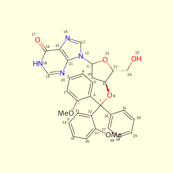 COc1ccccc1C(O[C@H]1CC(n2cnc3c(=O)[nH]cnc32)O[C@@H]1CO)(c1ccccc1)c1ccccc1OC